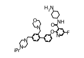 CC(C)N1CCN(Cc2ccc(-c3cccc(Oc4ncc(F)cc4C(=O)N[C@H]4CC[C@H](N)CC4)c3)c(CN3CCOCC3)c2)CC1